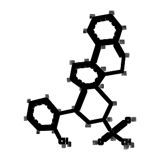 Cc1ccccc1C1=c2ccc3c(c2CC(S(C)(=O)=O)C1)CC=c1ccccc1=3